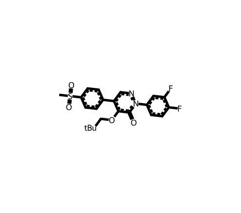 CC(C)(C)COc1c(-c2ccc(S(C)(=O)=O)cc2)cnn(-c2ccc(F)c(F)c2)c1=O